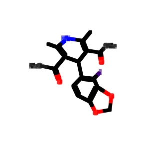 COC(=O)C1=C(C)NC(C)=C(C(=O)OC)C1c1ccc2c(c1I)OCO2